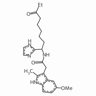 CCC(=O)CCCCCC(NC(=O)Cc1c(C)[nH]c2ccc(OC)cc12)c1ncc[nH]1